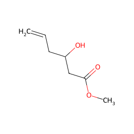 C=CCC(O)CC(=O)OC